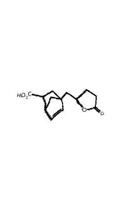 O=C1CCC(CC23C=CC(C2)C(C(=O)O)C3)O1